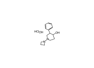 Cl.Cl.OC1CCN(N2CCC2)CC1c1ccccc1